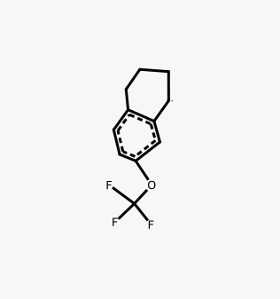 FC(F)(F)Oc1ccc2c(c1)[CH]CCC2